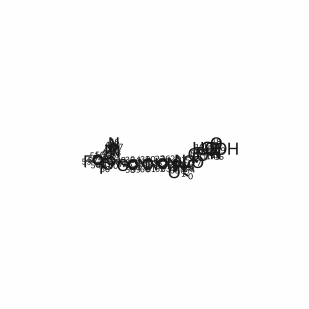 CC[C@@H]([C@H](C)OC(=O)OC(C)OC(=O)CN(C)P(=O)(O)O)n1ncn(-c2ccc(N3CCN(c4ccc(OC[C@@H]5CO[C@@](Cn6cncn6)(c6ccc(F)cc6F)C5)cc4)CC3)cc2)c1=O